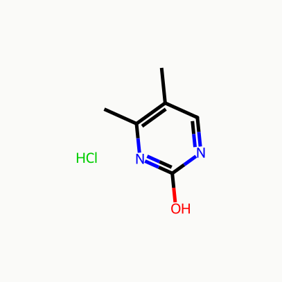 Cc1cnc(O)nc1C.Cl